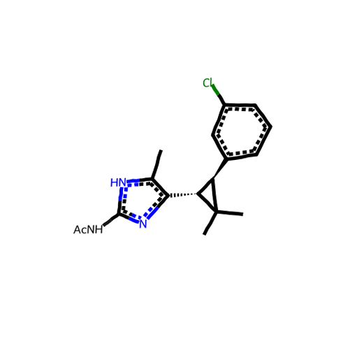 CC(=O)Nc1nc([C@@H]2[C@@H](c3cccc(Cl)c3)C2(C)C)c(C)[nH]1